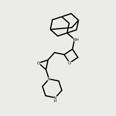 C1CN(C2OC2CC2OCC2NC23CC4CC(CC(C4)C2)C3)CCN1